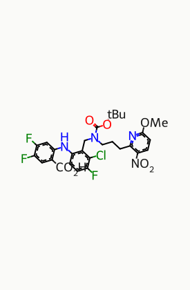 COc1ccc([N+](=O)[O-])c(CCCN(Cc2c(Nc3cc(F)c(F)cc3C(=O)O)ccc(F)c2Cl)C(=O)OC(C)(C)C)n1